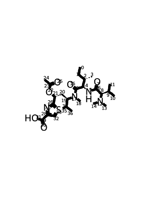 CC[C@H](C)[C@H](NC(=O)[C@@H](C(C)C)N(C)C)C(=O)N(C)[C@H](C[C@@H](OC(C)=O)c1nc(C(=O)O)cs1)C(C)C